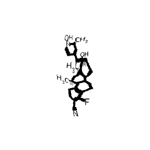 CC1C=C(C[C@]2(O)CCC3C4CCc5c(ccc(C#N)c5F)C4[C@@H](C)C[C@@]32C)C=CN1O